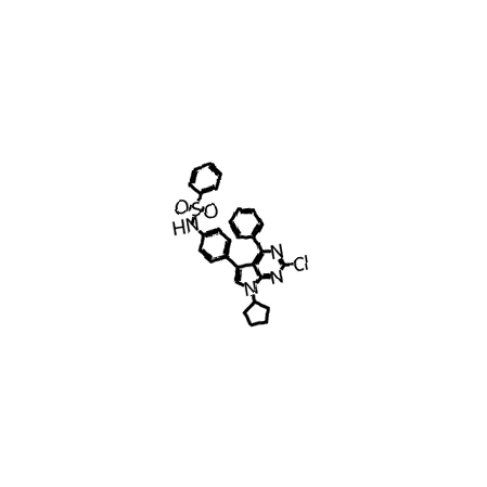 O=S(=O)(Nc1ccc(-c2cn(C3CCCC3)c3nc(Cl)nc(-c4ccccc4)c23)cc1)c1ccccc1